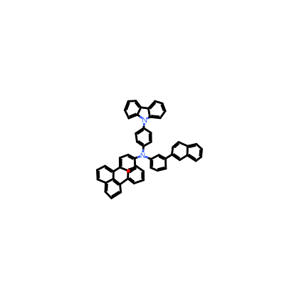 c1ccc(-c2cccc3cccc(-c4ccc(N(c5ccc(-n6c7ccccc7c7ccccc76)cc5)c5cccc(-c6ccc7ccccc7c6)c5)cc4)c23)cc1